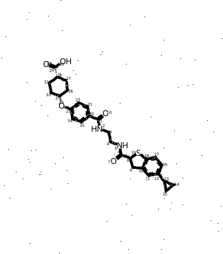 O=C(NCCNC(=O)C1Cc2cc(C3CC3)ccc2S1)c1ccc(O[C@H]2CC[C@@H](C(=O)O)CC2)cc1